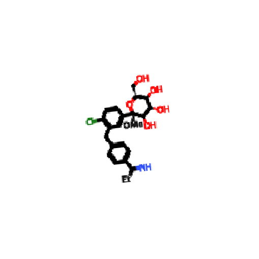 CCC(=N)c1ccc(Cc2cc([C@]3(OC)O[C@H](CO)[C@@H](O)[C@H](O)[C@H]3O)ccc2Cl)cc1